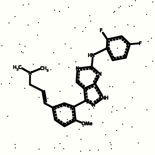 COc1ccc(C=CCN(C)C)cc1-c1n[nH]c2nc(Nc3ccc(F)cc3F)ncc12